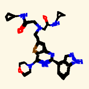 O=C(CN(CC(=O)NC1CC1)Cc1cc2nc(-c3cccc4[nH]ncc34)nc(N3CCOCC3)c2s1)NC1CC1